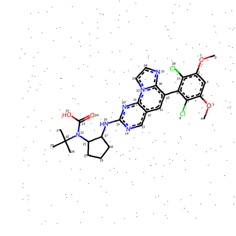 COc1cc(OC)c(Cl)c(-c2cc3cnc(NC4CCCC4N(C(=O)O)C(C)(C)C)nc3n3ccnc23)c1Cl